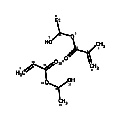 C=C(C)C(=O)OC(O)CC.C=CC(=O)OC(C)O